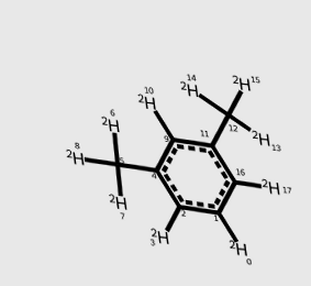 [2H]c1c([2H])c(C([2H])([2H])[2H])c([2H])c(C([2H])([2H])[2H])c1[2H]